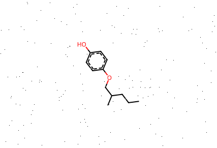 CCCC(C)COc1ccc(O)cc1